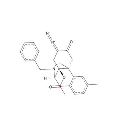 CC(=O)O[C@@]12CC(=[N+]=[N-])C(=O)C[C@@]13CCN(Cc1ccccc1)[C@@H]2Cc1ccc(C)cc13